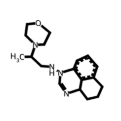 CC(CNN1C=NC2CCCc3cccc1c32)N1CCOCC1